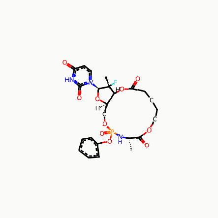 C[C@@H]1NP(=O)(Oc2ccccc2)OC[C@H]2O[C@@H](n3ccc(=O)[nH]c3=O)[C@](C)(F)[C@@H]2OC(=O)CCCCOC1=O